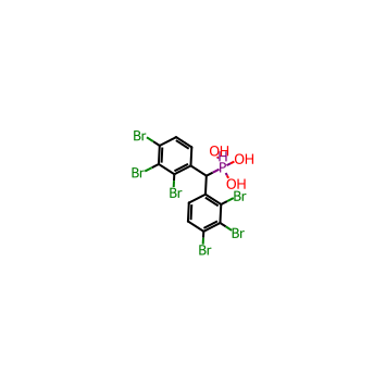 O[PH](O)(O)C(c1ccc(Br)c(Br)c1Br)c1ccc(Br)c(Br)c1Br